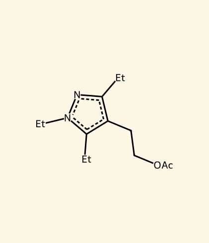 CCc1nn(CC)c(CC)c1CCOC(C)=O